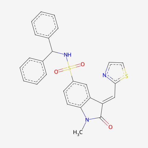 CN1C(=O)/C(=C/c2nccs2)c2cc(S(=O)(=O)NC(c3ccccc3)c3ccccc3)ccc21